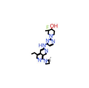 CCc1cnc(N2CC[C@H]2C)c2cnc(Nc3ccnc(N4CCC(O)C(C)(F)C4)n3)cc12